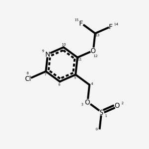 CS(=O)OCc1cc(Cl)ncc1OC(F)F